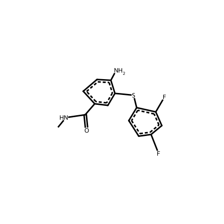 CNC(=O)c1ccc(N)c(Sc2ccc(F)cc2F)c1